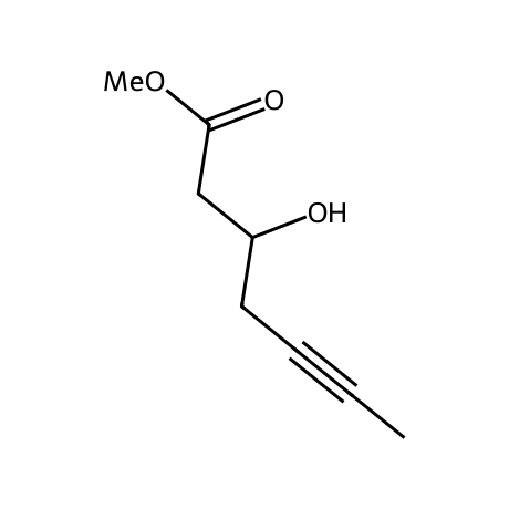 CC#CCC(O)CC(=O)OC